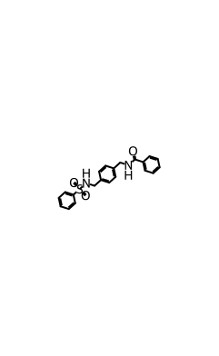 O=C(NCc1ccc(CNS(=O)(=O)c2ccccc2)cc1)c1ccccc1